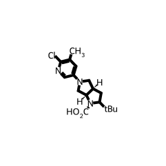 Cc1cc(N2C[C@H]3CC(C(C)(C)C)N(C(=O)O)[C@H]3C2)cnc1Cl